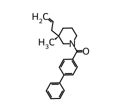 C=CC[C@]1(C)CCCN(C(=O)c2ccc(-c3ccccc3)cc2)C1